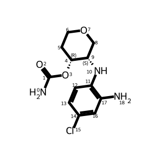 NC(=O)O[C@@H]1CCOC[C@@H]1Nc1ccc(Cl)cc1N